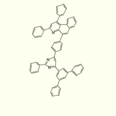 c1ccc(-c2cc(-c3ccccc3)cc(-c3cc(-c4ccc(-c5cc6ccccc6c6c(-c7ccccc7)cc(-c7ccccc7)nc56)cc4)nc(-c4ccccc4)n3)c2)cc1